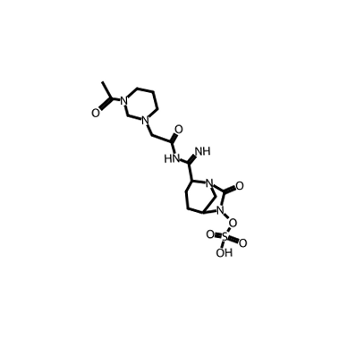 CC(=O)N1CCCN(CC(=O)NC(=N)C2CCC3CN2C(=O)N3OS(=O)(=O)O)C1